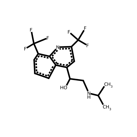 CC(C)NCC(O)c1cc(C(F)(F)F)nc2c(C(F)(F)F)cccc12